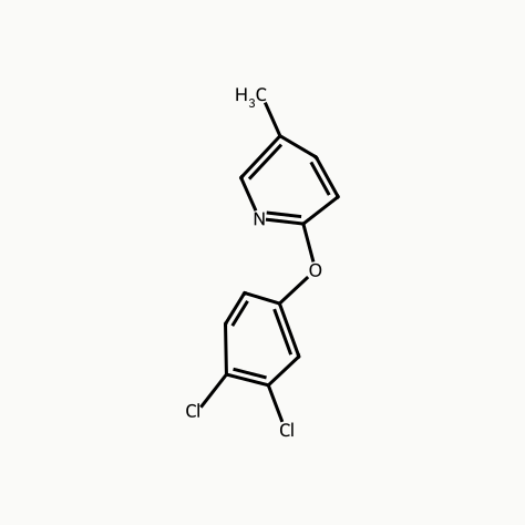 Cc1ccc(Oc2ccc(Cl)c(Cl)c2)nc1